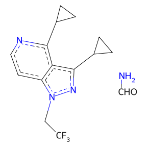 FC(F)(F)Cn1nc(C2CC2)c2c(C3CC3)nccc21.NC=O